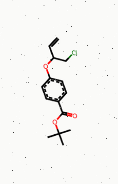 C=CC(CCl)Oc1ccc(C(=O)OC(C)(C)C)cc1